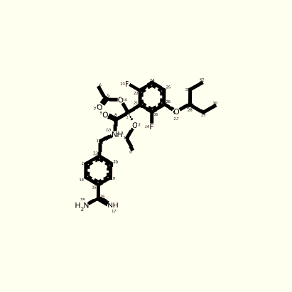 CCO[C@@](OC(C)=O)(C(=O)NCc1ccc(C(=N)N)cc1)c1c(F)ccc(OC(CC)CC)c1F